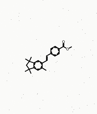 COC(=O)c1ccc(/C=C/c2cc3c(cc2C)C(C)(C)CC3(C)C)cc1